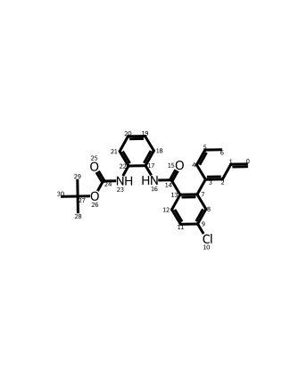 C=C/C=C(\C=C/C)c1cc(Cl)ccc1C(=O)Nc1ccccc1NC(=O)OC(C)(C)C